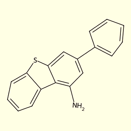 Nc1cc(-c2ccccc2)cc2sc3ccccc3c12